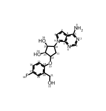 Nc1ncnc2c1ccn2C1CC(Oc2ccc(F)cc2CO)[C@@H](O)[C@H]1O